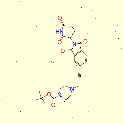 CC(C)(C)OC(=O)N1CCN(CC#Cc2ccc3c(c2)C(=O)N(C2CCC(=O)NC2=O)C3=O)CC1